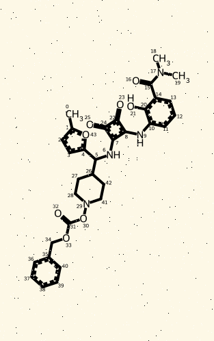 Cc1ccc(C(Nc2c(Nc3cccc(C(=O)N(C)C)c3O)c(=O)c2=O)C2CCN(OC(=O)OCc3ccccc3)CC2)o1